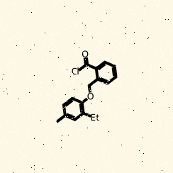 CCc1cc(C)ccc1OCc1ccccc1C(=O)Cl